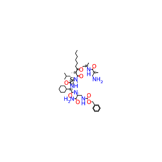 CCCCCC[C@@H](OC[C@@H](C)NC(=O)[C@@H](C)CN)[C@@H](C)C(=O)N(C)[Si@@H](CC(C)C)C(=O)N[C@H](C(=O)/N=C(/CNC(=O)OCc1ccccc1)C(N)=O)C1CCCCC1